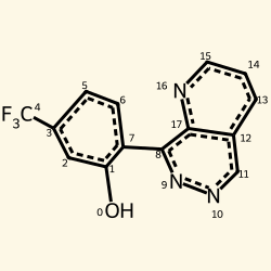 Oc1cc(C(F)(F)F)ccc1-c1nncc2cccnc12